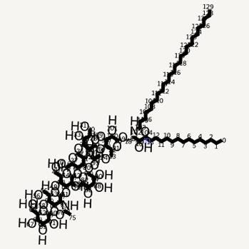 CCCCCCCCCCCCC/C=C/[C@@H](O)[C@H](CO[C@@H]1OC(CO)[C@@H](O[C@@H]2OC(CO)[C@H](O)[C@H](O[C@@H]3OC(CO)[C@@H](O[C@@H]4OC(CO)[C@H](O)[C@H](O[C@@H]5OC(CO)[C@@H](O)[C@H](O[C@@H]6OC(CO)[C@H](O)[C@H](O)C6O)C5NC(C)=O)C4O)[C@H](O[C@H]4OC(C)[C@@H](O)C(O)[C@@H]4O)C3NC(C)=O)C2O)[C@H](O)C1O)NC(=O)CCCCCCCCCCCCCCCCCCCCCCCCC